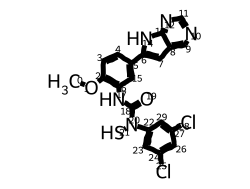 COc1ccc(-c2cc3cncnc3[nH]2)cc1NC(=O)N(S)c1cc(Cl)cc(Cl)c1